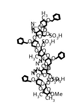 CO[C@H]1OC(COS(=O)(=O)O)[C@@H](O[C@H]2C[C@H](OCc3ccccc3)[C@H](O[C@H]3OC(COS(=O)(=O)O)[C@H](O[C@H]4C[C@H](OCc5ccccc5)[C@H](O[C@H]5OC(COS(=O)(=O)O)[C@@H](O[C@H]6C[C@H](OCc7ccccc7)[C@H](O[C@@H]7OC(COS(=O)(=O)O)[C@H](O[C@H]8C[C@H](OCc9ccccc9)[C@H](C)CO8)[C@H](C)C7N=[N+]=[N-])CO6)[C@H](C)C5N=[N+]=[N-])CO4)[C@H](C)C3N=[N+]=[N-])CO2)[C@H](C)C1C